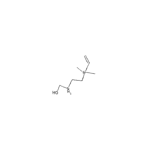 C=C[Si](C)(C)CC[SiH2]CO